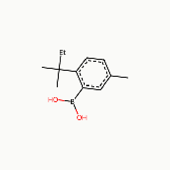 CCC(C)(C)c1ccc(C)cc1B(O)O